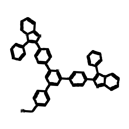 CC(C)Cc1ccc(-c2cc(-c3ccc(-c4nc5ccccn5c4-c4ccccc4)cc3)nc(-c3ccc(-c4nc5ccccn5c4-c4ccccc4)cc3)c2)cc1